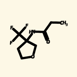 CCC(=O)NC1(C(F)(F)F)CCOC1